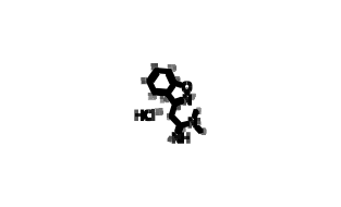 CN(C)C(=N)Cc1noc2ccccc12.Cl